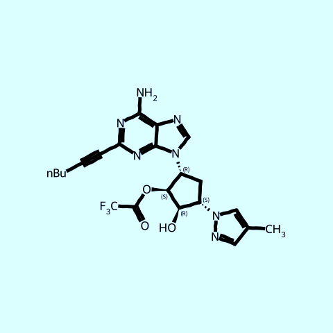 CCCCC#Cc1nc(N)c2ncn([C@@H]3C[C@H](n4cc(C)cn4)[C@@H](O)[C@H]3OC(=O)C(F)(F)F)c2n1